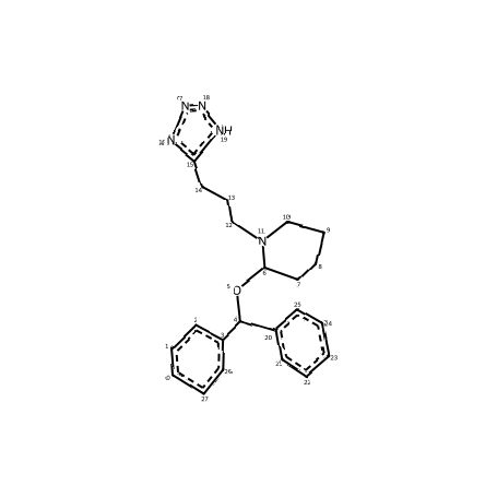 c1ccc(C(OC2CCCCN2CCCc2nnn[nH]2)c2ccccc2)cc1